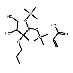 C=CC(=O)O.CCCOC(C)(C(O)CO)[SiH](O[Si](C)(C)C)O[Si](C)(C)C